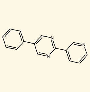 c1ccc(-c2cnc(-c3cccnc3)nc2)cc1